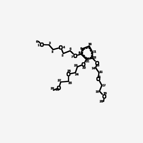 COCCOCCOc1cccc(OCCOCCOC)c1OCCOCCOC